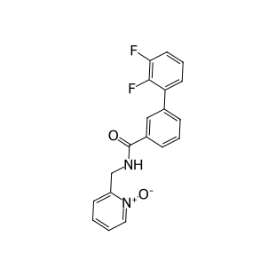 O=C(NCc1cccc[n+]1[O-])c1cccc(-c2cccc(F)c2F)c1